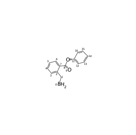 BCc1ccccc1C(=O)Oc1ccccc1